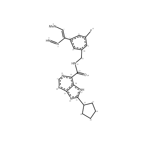 CN/C=C(\N=N)c1cc(F)cc(CNC(=O)c2ncnc3nc(C4CCCC4)[nH]c23)c1